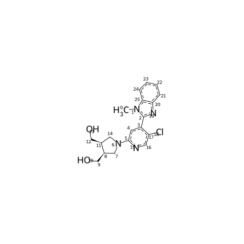 Cn1c(-c2cc(N3C[C@@H](CO)[C@@H](CO)C3)ncc2Cl)nc2ccccc21